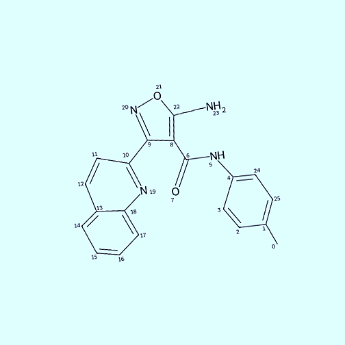 Cc1ccc(NC(=O)c2c(-c3ccc4ccccc4n3)noc2N)cc1